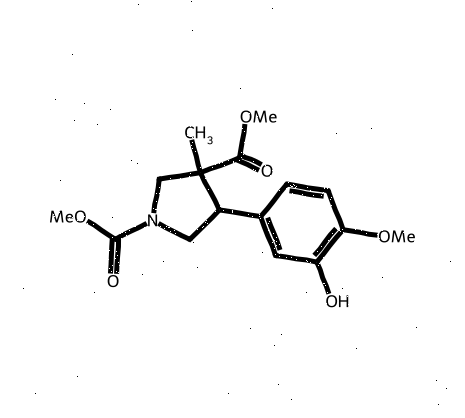 COC(=O)N1CC(c2ccc(OC)c(O)c2)C(C)(C(=O)OC)C1